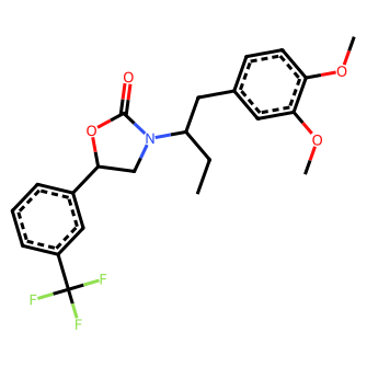 CCC(Cc1ccc(OC)c(OC)c1)N1CC(c2cccc(C(F)(F)F)c2)OC1=O